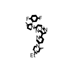 CCN1CCN(c2ccc(-c3cnn4ccc(N5CC[C@@H](C)[C@@H]5c5cc(F)ccc5F)nc34)nc2)[C@@H](C)C1